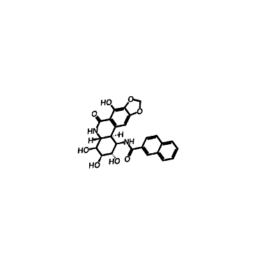 O=C(N[C@H]1[C@H](O)[C@@H](O)[C@@H](O)[C@@H]2NC(=O)c3c(cc4c(c3O)OCO4)[C@@H]12)c1ccc2ccccc2c1